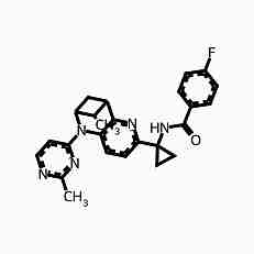 Cc1nccc(N2c3ccc(C4(NC(=O)c5ccc(F)cc5)CC4)nc3C3CC2C3C)n1